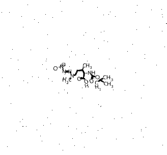 C[C@H](CCN(C)N=N[N+](=O)[O-])[C@H](NC(=O)OC(C)(C)C)C(=O)O